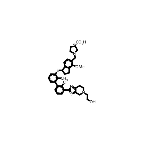 COc1c(CN2CC[C@@H](C(=O)O)C2)ccc2c1CCC2Sc1cccc(-c2cccc(-c3nc4c(s3)CN(CCO)CC4)c2Cl)c1C